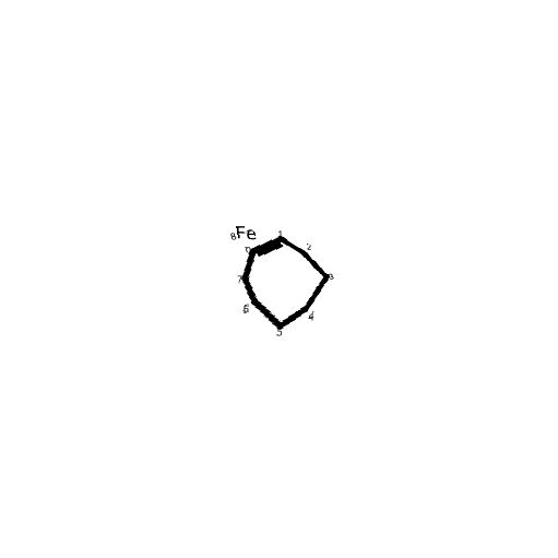 C1=CCCCCCC1.[Fe]